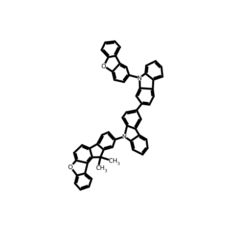 CC1(C)c2cc(-n3c4ccccc4c4cc(-c5ccc6c7ccccc7n(-c7ccc8oc9ccccc9c8c7)c6c5)ccc43)ccc2-c2ccc3oc4ccccc4c3c21